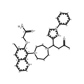 CC(=O)CC(c1ccn(-c2ccccc2)n1)N1CCCN(c2c(OCC(N)=O)c(C)cc3cccnc23)CC1